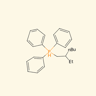 CCCCC(CC)C[PH](c1ccccc1)(c1ccccc1)c1ccccc1